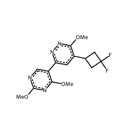 COc1ncc(-c2cc(C3CC(F)(F)C3)c(OC)nn2)c(OC)n1